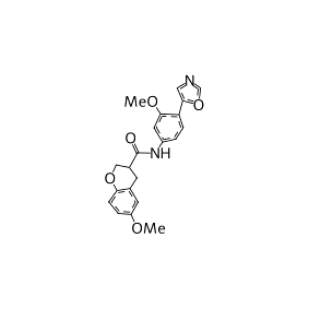 COc1ccc2c(c1)CC(C(=O)Nc1ccc(-c3cnco3)c(OC)c1)CO2